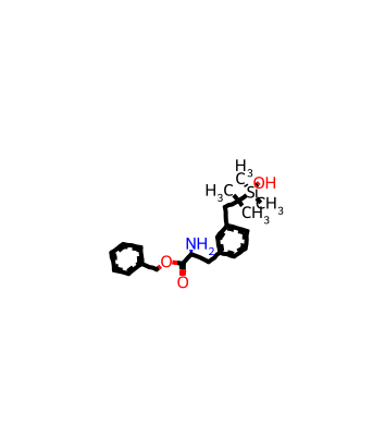 CC(C)(Cc1cccc(C[C@H](N)C(=O)OCc2ccccc2)c1)[Si](C)(C)O